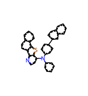 c1ccc(N(c2ccc(-c3ccc4ccccc4c3)cc2)c2ccnc3c2sc2c4ccccc4ccc32)cc1